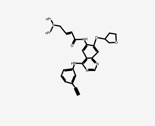 C#Cc1cccc(Nc2ncnc3cc(OC4CCOC4)c(NC(=O)C=CCN(CCC)CCC)cc23)c1